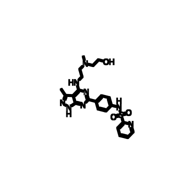 Cc1n[nH]c2nc(-c3ccc(NS(=O)(=O)c4ccccn4)cc3)nc(NCCN(C)CCO)c12